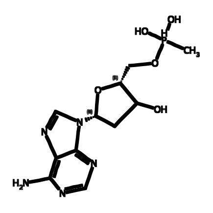 C[PH](O)(O)OC[C@H]1O[C@@H](n2cnc3c(N)ncnc32)CC1O